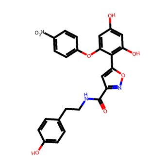 O=C(NCCc1ccc(O)cc1)c1cc(-c2c(O)cc(O)cc2Oc2ccc([N+](=O)[O-])cc2)on1